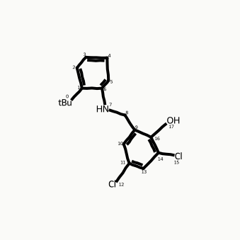 CC(C)(C)c1ccccc1NCc1cc(Cl)cc(Cl)c1O